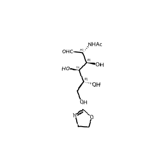 C1=NCCO1.CC(=O)N[C@@H](C=O)[C@@H](O)[C@H](O)[C@H](O)CO